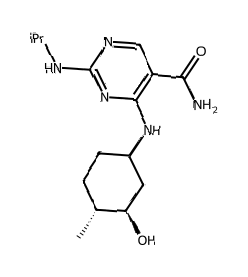 CC(C)Nc1ncc(C(N)=O)c(NC2CC[C@@H](C)[C@H](O)C2)n1